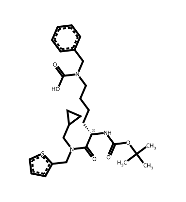 CC(C)(C)OC(=O)N[C@@H](CCCCN(Cc1ccccc1)C(=O)O)C(=O)N(Cc1cccs1)CC1CC1